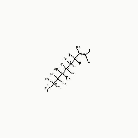 F[C]([Na])=C(F)C(F)(F)C(F)(F)C(F)(F)C(F)(F)C(F)(F)C(F)(F)C(F)(F)F